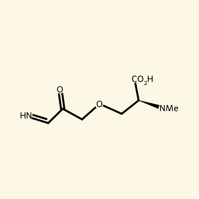 CN[C@@H](COCC(=O)C=N)C(=O)O